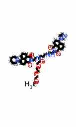 COCCOCCOCC(=O)N(CCCNCCN1C(=O)c2cccc3c(-n4ccnc4)ccc(c23)C1=O)CCN1C(=O)c2cccc3c(N4C=C=CCC=C4)ccc(c23)C1=O